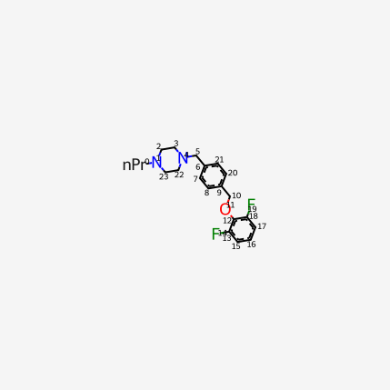 C[CH]CN1CCN(Cc2ccc(COc3c(F)cccc3F)cc2)CC1